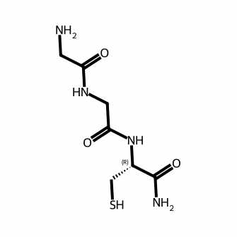 NCC(=O)NCC(=O)N[C@@H](CS)C(N)=O